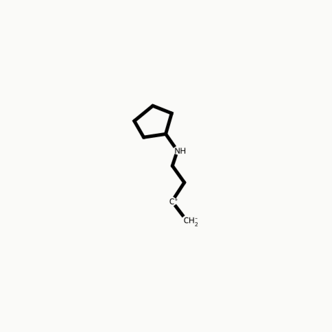 [CH2-][CH+]CCNC1CCCC1